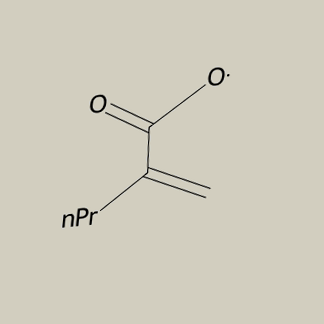 C=C(CCC)C([O])=O